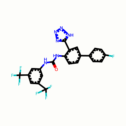 O=C(Nc1cc(C(F)(F)F)cc(C(F)(F)F)c1)Nc1ccc(-c2ccc(F)cc2)cc1-c1nnn[nH]1